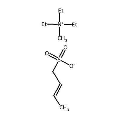 CC=CCS(=O)(=O)[O-].CC[N+](C)(CC)CC